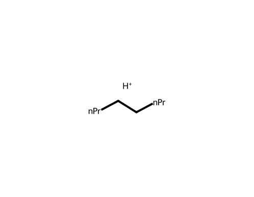 [CH2]CCCCCCC.[H+]